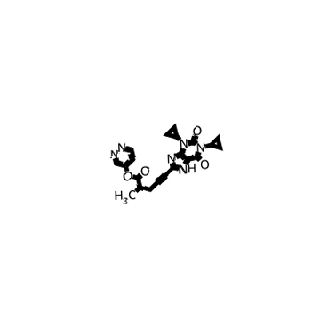 CC(CC#Cc1nc2c([nH]1)c(=O)n(C1CC1)c(=O)n2C1CC1)C(=O)Oc1ccnnc1